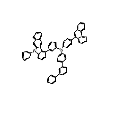 c1ccc(-c2cccc(-c3ccc(N(c4ccc(-c5cc6ccccc6c6ccccc56)cc4)c4cccc(-c5cccc6c5c5cc7ccccc7cc5n6-c5ccccc5)c4)cc3)c2)cc1